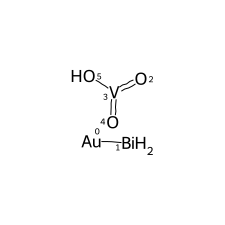 [Au][BiH2].[O]=[V](=[O])[OH]